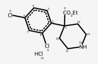 CCOC(=O)C1(c2ccc(Cl)cc2Cl)CCNCC1.Cl